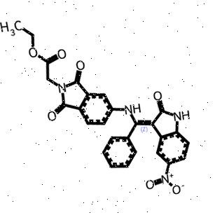 CCOC(=O)CN1C(=O)c2ccc(N/C(=C3\C(=O)Nc4ccc([N+](=O)[O-])cc43)c3ccccc3)cc2C1=O